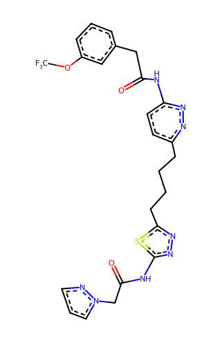 O=C(Cc1cccc(OC(F)(F)F)c1)Nc1ccc(CCCCc2nnc(NC(=O)Cn3cccn3)s2)nn1